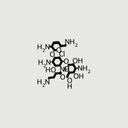 NCC[C@H](O)C(=O)N[C@@H]1C[C@H](N)C(O[C@H]2OC(CN)C=CC2N)C(Cl)[C@H]1O[C@H]1OC(CO)[C@@H](O)[C@H](N)C1O